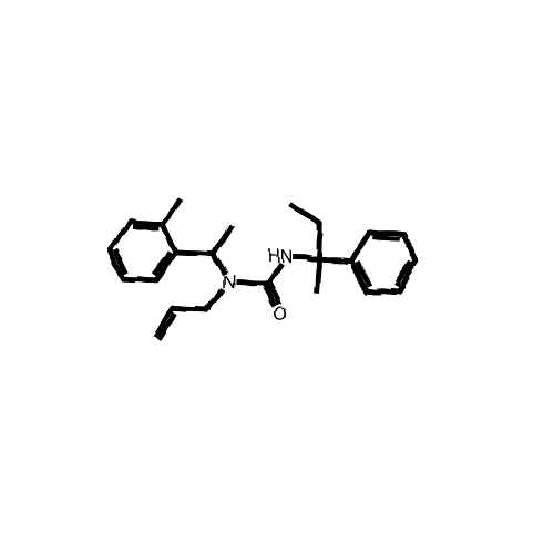 C=CCN(C(=O)NC(C)(CC)c1ccccc1)C(C)c1ccccc1C